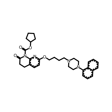 O=C1CCc2ccc(OCCCCN3CCN(c4cccc5ccccc45)CC3)nc2N1C(=O)OC1CCCC1